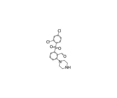 O=Cc1c(N2CCNCC2)cccc1S(=O)(=O)c1ccc(Cl)cc1Cl